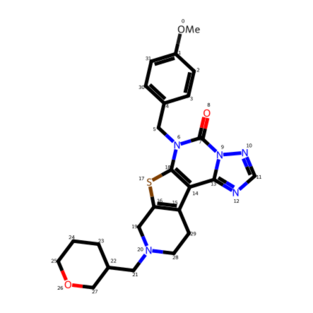 COc1ccc(Cn2c(=O)n3ncnc3c3c4c(sc32)CN(CC2CCCOC2)CC4)cc1